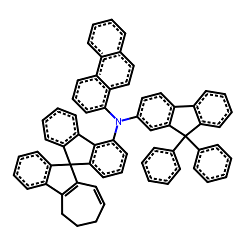 C1=CC2=C(CCC1)c1ccccc1C21c2ccccc2-c2c(N(c3ccc4c(c3)C(c3ccccc3)(c3ccccc3)c3ccccc3-4)c3cccc4c3ccc3ccccc34)cccc21